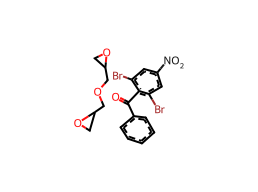 C(OCC1CO1)C1CO1.O=C(c1ccccc1)c1c(Br)cc([N+](=O)[O-])cc1Br